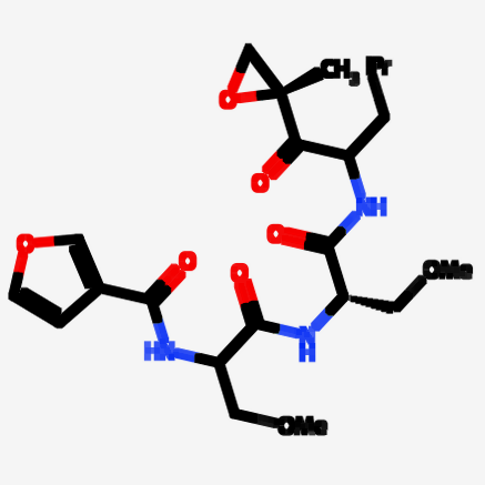 COCC(NC(=O)c1ccoc1)C(=O)N[C@@H](COC)C(=O)NC(CC(C)C)C(=O)[C@@]1(C)CO1